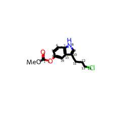 COC(=O)Oc1ccc2[nH]cc(CCCCl)c2c1